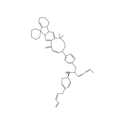 C=C/C=C\CC1=CC[C@@H](NC(/C=C\C=C/C)Cc2ccc(C3/C=C\C(=C)C4=CC5C(C=C4C(C)(C)CC3)C3CCCC=C3C53CCCCC3)cc2)C=C1